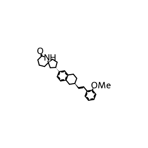 COc1ccccc1/C=C/[C@@H]1CCc2cc([C@H]3CC[C@]4(CCCC(=O)N4)C3)ccc2C1